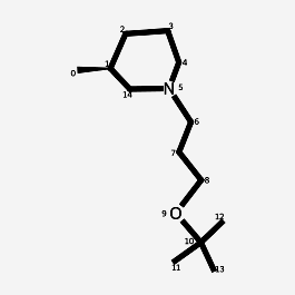 C[C@H]1CCCN(CCCOC(C)(C)C)C1